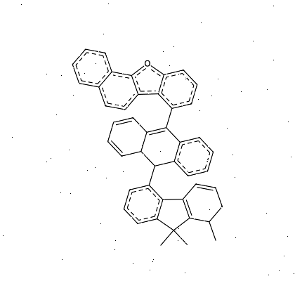 CC1CC=CC2=C1C(C)(C)c1cccc(C3c4ccccc4C(c4cccc5oc6c7ccccc7ccc6c45)=C4C=CC=CC43)c12